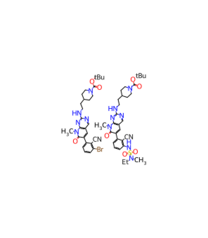 CCN(C)S(=O)(=O)Nc1cccc(-c2cc3cnc(NCCC4CCN(C(=O)OC(C)(C)C)CC4)nc3n(C)c2=O)c1C#N.Cn1c(=O)c(-c2cccc(Br)c2C#N)cc2cnc(NCCC3CCN(C(=O)OC(C)(C)C)CC3)nc21